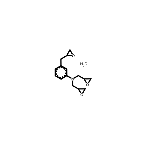 O.c1cc(CC2CO2)cc(N(CC2CO2)CC2CO2)c1